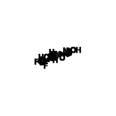 O=C(CN1C[C@@H]2CC(O)(Cc3ccc(F)cc3F)C[C@@H]2C1)c1ccc(O)cn1